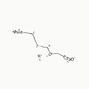 CCCCCCCCOC(=O)[O-].[K+]